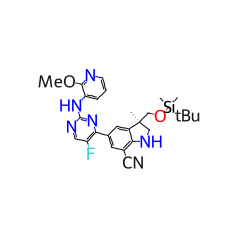 COc1ncccc1Nc1ncc(F)c(-c2cc(C#N)c3c(c2)[C@@](C)(CO[Si](C)(C)C(C)(C)C)CN3)n1